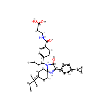 CCCC(C1=CC=C(C(=O)NCCC(=O)O)CC1)N1C(=O)C(c2ccc(C3CC3)cc2)=NC12CCC(C(C)(C)CC)CC2